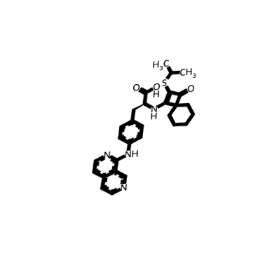 CC(C)SC1=C(N[C@@H](Cc2ccc(Nc3nccc4ccncc34)cc2)C(=O)O)C2(CCCCC2)C1=O